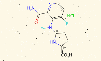 Cl.NC(=O)c1nccc(F)c1N(F)[C@@H]1CC[C@@H](C(=O)O)N1